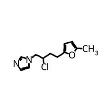 Cc1ccc(CCC(Cl)Cn2ccnc2)o1